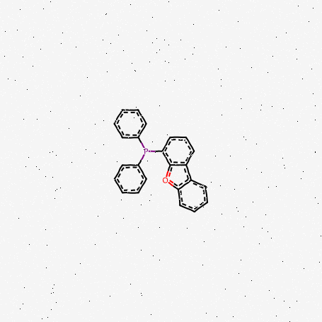 c1ccc(P(c2ccccc2)c2cccc3c2oc2ccccc23)cc1